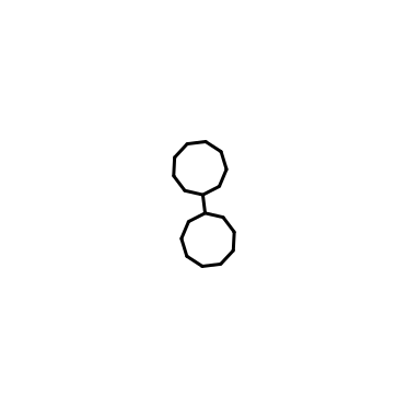 C1CCCCC(C2CCCCCCCC2)CCC1